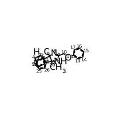 CC1(c2ccccc2)N=C(COc2ccccc2)NC1(C)c1ccccc1